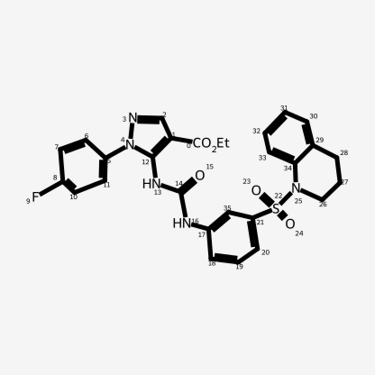 CCOC(=O)c1cnn(-c2ccc(F)cc2)c1NC(=O)Nc1cccc(S(=O)(=O)N2CCCc3ccccc32)c1